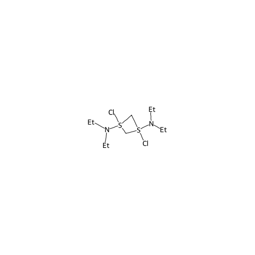 CCN(CC)S1(Cl)CS(Cl)(N(CC)CC)C1